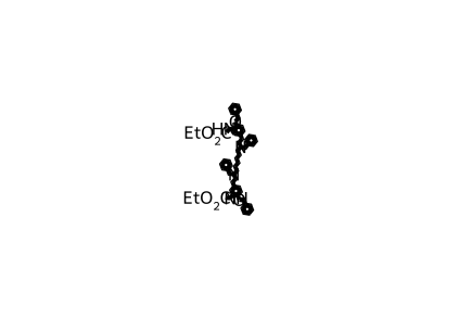 CCOC(=O)Nc1cc(CCN(CCCCCCN(CCc2ccc(OCc3ccccc3)c(NC(=O)OCC)c2)Cc2ccccc2)Cc2ccccc2)ccc1OCc1ccccc1